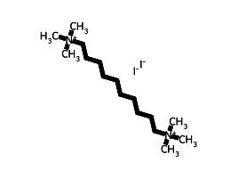 C[N+](C)(C)CCCCCCCCCC[N+](C)(C)C.[I-].[I-]